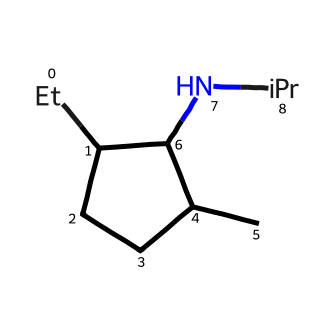 CCC1CCC(C)C1NC(C)C